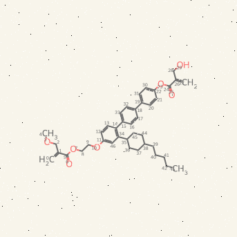 C=C(COC)C(=O)OCCOc1ccc(-c2ccc(-c3ccc(OC(=O)C(=C)CO)cc3)cc2)c(C2CCC(CCCCC)CC2)c1